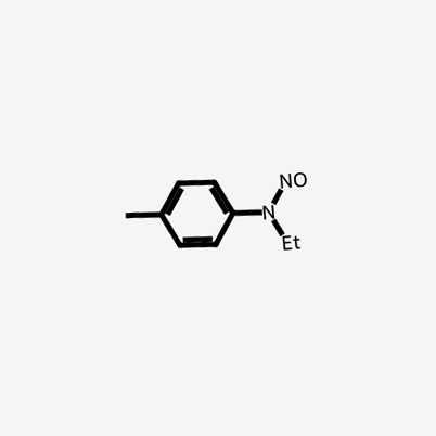 CCN(N=O)c1ccc(C)cc1